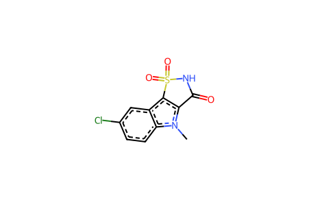 Cn1c2c(c3cc(Cl)ccc31)S(=O)(=O)NC2=O